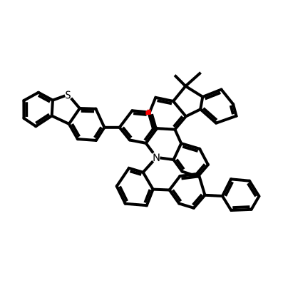 CC1(C)c2ccccc2-c2c(-c3ccccc3N(c3cccc(-c4ccc5c(c4)sc4ccccc45)c3)c3ccccc3-c3ccc(-c4ccccc4)cc3)cccc21